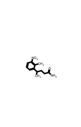 Cc1c(C(C)CCC(N)=O)cccc1[N+](=O)[O-]